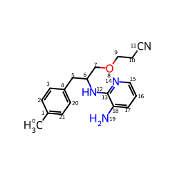 Cc1ccc(CC(COCCC#N)Nc2ncccc2N)cc1